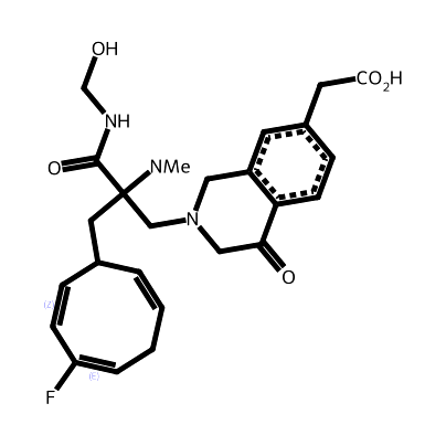 CNC(CC1C=CC/C=C(F)\C=C/1)(CN1CC(=O)c2ccc(CC(=O)O)cc2C1)C(=O)NCO